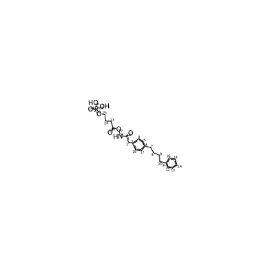 O=C(Cc1ccc(CCCCc2ccccc2)cc1)NOC(=O)CCCOP(=O)(O)O